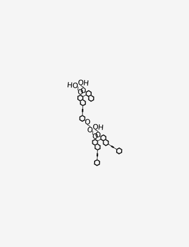 OCCOc1ccc2ccccc2c1-c1c(OCCO)ccc2cc(C#Cc3cccc(OCCOCCOc4ccc5cc(C#Cc6ccccc6)ccc5c4-c4c(OCCO)ccc5cc(C#Cc6ccccc6)ccc45)c3)ccc12